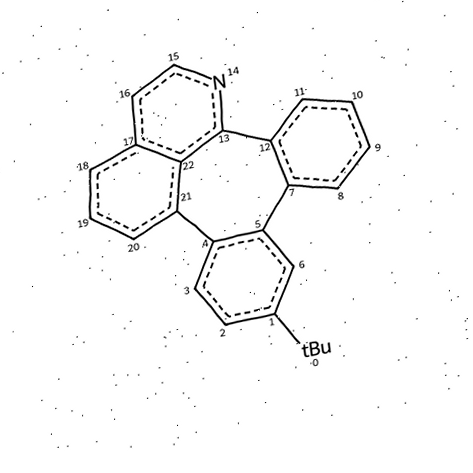 CC(C)(C)c1ccc2c(c1)-c1ccccc1-c1nccc3cccc-2c13